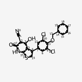 N#Cc1c(O)c2c(-c3cc(Cl)c(OCc4ccccc4)c(Cl)c3)csc2[nH]c1=O